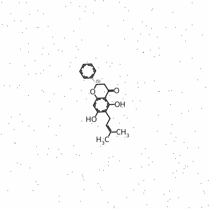 CC(C)=CCc1c(O)cc2c(c1O)C(=O)C[C@@H](c1ccccc1)O2